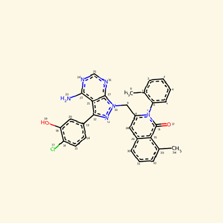 Cc1ccccc1-n1c(Cn2nc(-c3ccc(Cl)c(O)c3)c3c(N)ncnc32)cc2cccc(C)c2c1=O